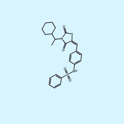 CC(C1CCCCC1)N1C(=O)SC(=Cc2ccc(NS(=O)(=O)c3ccccc3)cc2)C1=O